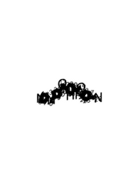 CN(c1ccncc1)c1ccc(C(=O)N2CCN(C(=O)Nc3ccc(C#N)cc3)CC2)cc1